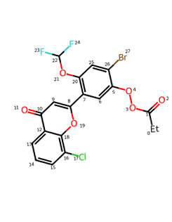 CCC(=O)OOc1cc(-c2cc(=O)c3cccc(Cl)c3o2)c(OC(F)F)cc1Br